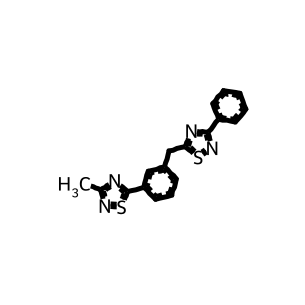 Cc1nsc(-c2cccc(Cc3nc(-c4ccccc4)ns3)c2)n1